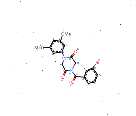 COc1cc(OC)cc(N2CC(=O)N(C(=O)c3cccc(Br)c3)CC2=O)c1